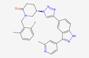 Cc1cc(-c2n[nH]c3ccc(-c4cn([C@@H]5CCC(=O)N(Cc6c(C)cccc6F)C5)nn4)cc23)ccn1